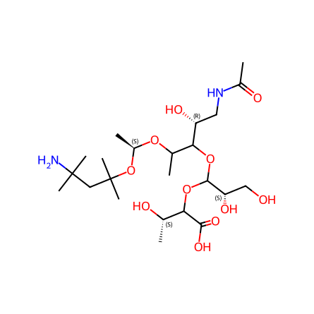 CC(=O)NC[C@@H](O)C(OC(OC(C(=O)O)[C@H](C)O)[C@@H](O)CO)C(C)O[C@H](C)OC(C)(C)CC(C)(C)N